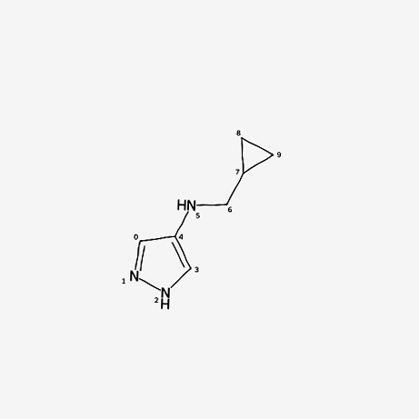 c1n[nH]cc1NCC1CC1